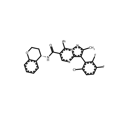 Cc1nn2c(C(C)C)c(C(=O)N[C@H]3CCOc4ccccc43)cnc2c1-c1c(Cl)ccc(F)c1F